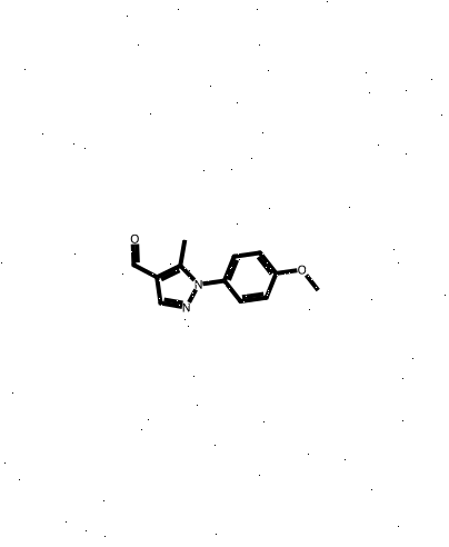 COc1ccc(-n2ncc(C=O)c2C)cc1